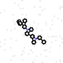 c1ccc(-c2cccc(-n3c4ccccc4c4cc(-c5cccc6c5c5ccccc5n6-c5ccc6c(c5)-c5ccccc5C65C6CC7CC(C6)CC5C7)ccc43)c2)cc1